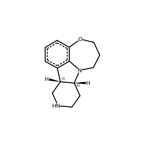 c1cc2c3c(c1)[C@H]1CNCC[C@H]1N3CCCO2